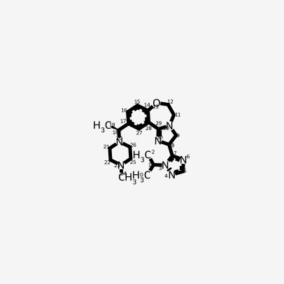 CC(C)n1ncnc1C1CN2CCOc3ccc([C@H](C)N4CCN(C)CC4)cc3C2=N1